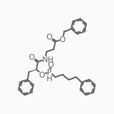 O=C(CCNC(=O)[C@H](Cc1ccccc1)O[PH](=O)CCCCc1ccccc1)OCc1ccccc1